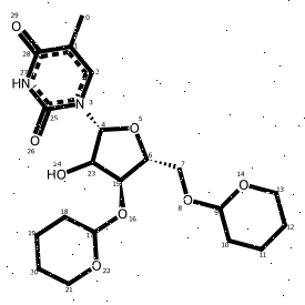 Cc1cn([C@@H]2O[C@H](COC3CCCCO3)[C@@H](OC3CCCCO3)C2O)c(=O)[nH]c1=O